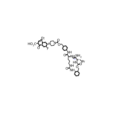 CCn1cc(C(=O)O)c(=O)c2cc(F)c(N3CCN(C(=O)OCc4ccc(NC(=O)[C@H](CCCNC(N)=O)N/C=C(\N)[C@H](CC(C)C)NC(=O)OCc5ccccc5)cc4)CC3)cc21